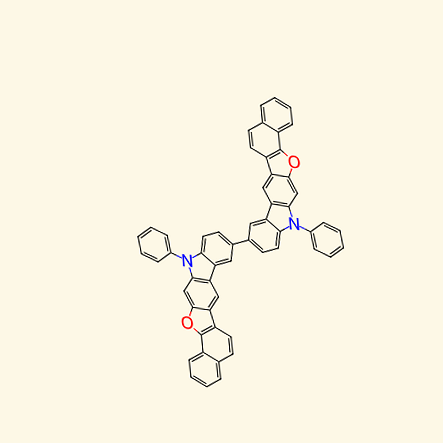 c1ccc(-n2c3ccc(-c4ccc5c(c4)c4cc6c(cc4n5-c4ccccc4)oc4c5ccccc5ccc64)cc3c3cc4c(cc32)oc2c3ccccc3ccc42)cc1